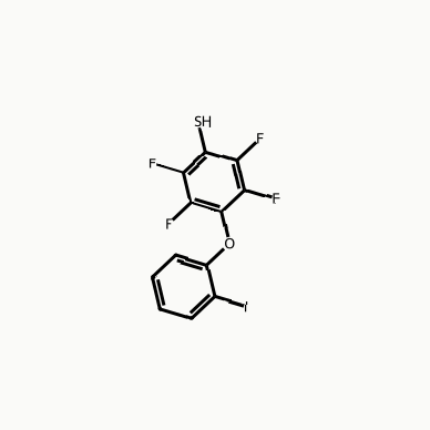 Fc1c(F)c(Oc2ccccc2I)c(F)c(F)c1S